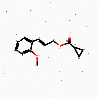 COc1ccccc1/C=C/COC(=O)C1CC1